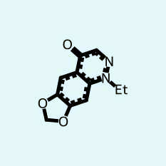 CCn1ncc(=O)c2cc3c(cc21)OCO3